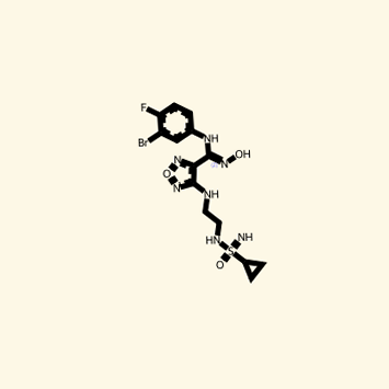 N=S(=O)(NCCNc1nonc1/C(=N/O)Nc1ccc(F)c(Br)c1)C1CC1